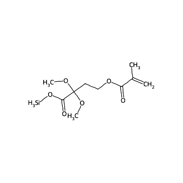 C=C(C)C(=O)OCCC(OC)(OC)C(=O)O[SiH3]